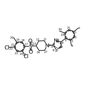 Cc1cc(C)c(-c2csc(N3CCC(S(=O)(=O)c4cc(C)c(Cl)cc4Cl)CC3)n2)c(C)c1